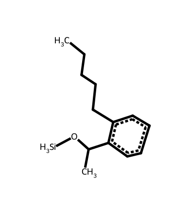 CCCCCc1ccccc1C(C)O[SiH3]